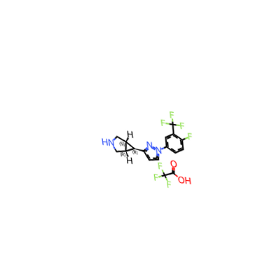 Fc1ccc(-n2ccc([C@H]3[C@@H]4CNC[C@@H]43)n2)cc1C(F)(F)F.O=C(O)C(F)(F)F